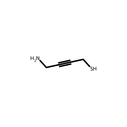 NCC#CCS